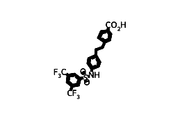 O=C(O)c1ccc(CCc2ccc(NS(=O)(=O)c3cc(C(F)(F)F)cc(C(F)(F)F)c3)cc2)cc1